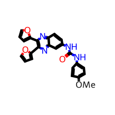 COc1ccc(NC(=O)Nc2ccc3nc(-c4ccco4)c(-c4ccco4)nc3c2)cc1